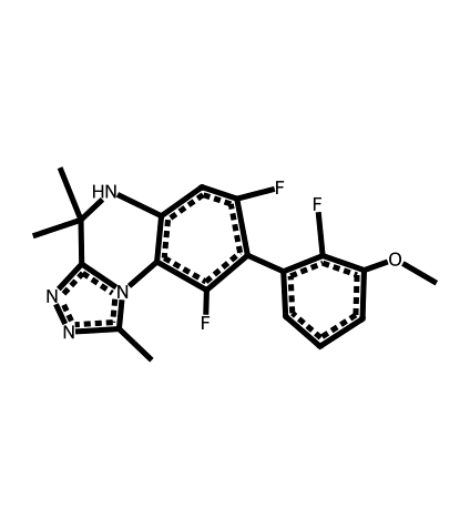 COc1cccc(-c2c(F)cc3c(c2F)-n2c(C)nnc2C(C)(C)N3)c1F